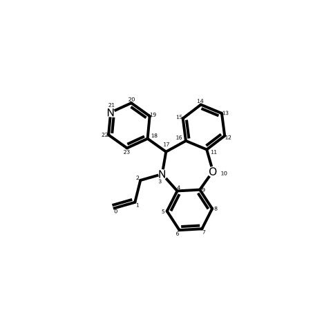 C=CCN1c2ccccc2Oc2ccccc2C1c1ccncc1